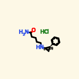 Cl.NC(=O)CCCCN[C@@H]1C[C@H]1c1ccccc1